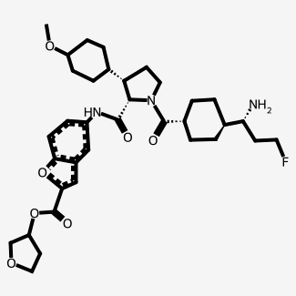 COC1CCC([C@@H]2CCN(C(=O)[C@H]3CC[C@H]([C@H](N)CCF)CC3)[C@@H]2C(=O)Nc2ccc3oc(C(=O)OC4CCOC4)cc3c2)CC1